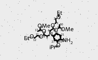 CCOCCOC(CN(CC(OCCOCC)OC(C)OC)c1ccc(N)c(OC(C)C)c1)OC(C)OC